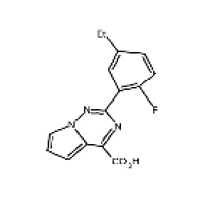 CCc1ccc(F)c(-c2nc(C(=O)O)c3cccn3n2)c1